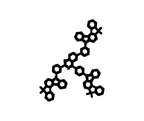 CC1(C)c2ccccc2-c2c1ccc1c2c2ccccc2n1-c1ccc(-c2nc(-c3cccc(-n4c5ccccc5c5c6c(ccc54)C(C)(C)c4ccccc4-6)c3)nc3ccc(-c4cccc(-n5c6ccccc6c6c7c(ccc65)C(C)(C)c5ccccc5-7)c4)cc23)cc1